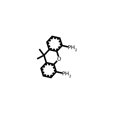 CC1(C)c2cccc(P)c2Oc2c(P)cccc21